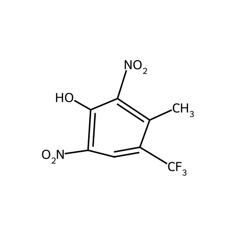 Cc1c(C(F)(F)F)cc([N+](=O)[O-])c(O)c1[N+](=O)[O-]